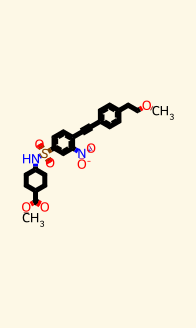 COCCc1ccc(C#Cc2ccc(S(=O)(=O)NC3CCC(C(=O)OC)CC3)cc2[N+](=O)[O-])cc1